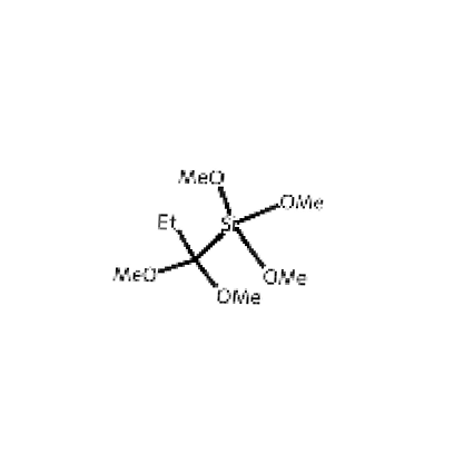 CCC(OC)(OC)[Si](OC)(OC)OC